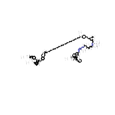 COC(CC1CC[C@@H](C)C(N=O)(C(=O)C(=O)N2CCCCC2)O1)/C(C)=C/C=C/C=C/C(C)CC(C)C(=O)CC(O)/C(C)=C/C(C)C(=O)CC(CCC1CCC(NCCOCCOCCOCCOCCOCCOCCOCCOCC(=O)N2CCc3cc(Cn4nc(-c5ccc6oc(N)nc6c5)c5c(N)ncnc54)ccc3C2)CC1)OC=O